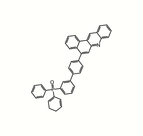 O=P(C1=CCCC=C1)(c1ccccc1)c1cccc(-c2ccc(-c3cc4nc5ccccc5cc4c4ccccc34)cc2)c1